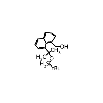 CC(C)(C)[SiH2]OC(C)(C)c1cccc2cccc(CO)c12